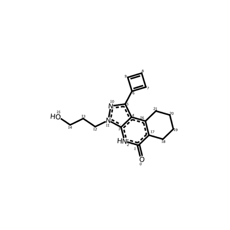 O=c1[nH]c2c(c(C3=CC=C3)nn2CCCO)c2c1CCCC2